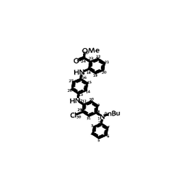 CCCCN(c1ccccc1)c1ccc(Nc2ccc(Nc3ccccc3C(=O)OC)cc2)c(Cl)c1